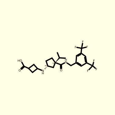 CC(C)[C@]1(C(=O)NCc2cc(C(F)(F)F)cc(C(F)(F)F)c2)CC[C@@H](NC2CC(C(=O)O)C2)C1